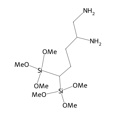 CO[Si](OC)(OC)C(CCC(N)CN)[Si](OC)(OC)OC